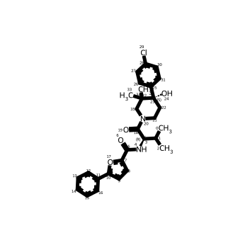 CC(C)[C@@H](NC(=O)c1ccc(-c2ccccc2)o1)C(=O)N1CC[C@](O)(c2ccc(Cl)cc2)C(C)(C)C1